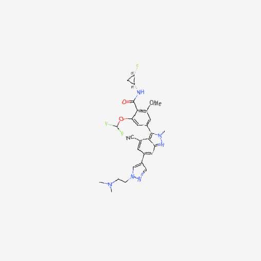 COc1cc(-c2c3c(C#N)cc(-c4cnn(CCN(C)C)c4)cc3nn2C)cc(OC(F)F)c1C(=O)N[C@@H]1C[C@@H]1F